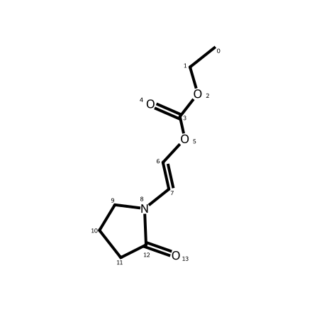 CCOC(=O)OC=CN1CCCC1=O